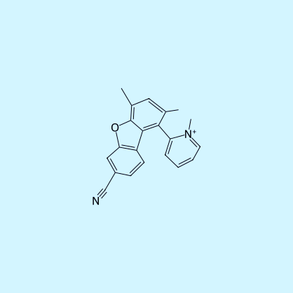 Cc1cc(C)c2oc3cc(C#N)ccc3c2c1-c1cccc[n+]1C